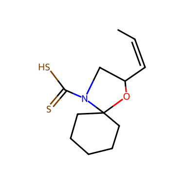 C/C=C\C1CN(C(=S)S)C2(CCCCC2)O1